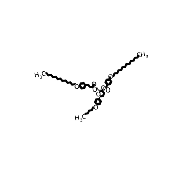 CCCCCCCCCCCCCCOc1ccc(CCC(=O)OC[C@H]2O[C@H](c3ccc(OCCCCCC)cc3)CC[C@@H]2OC(=O)c2ccc(OCCCCCCCCCCCCCC)cc2)cc1